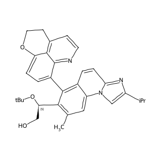 Cc1cc2c(ccc3nc(C(C)C)cn32)c(-c2ccc3c4c(ccnc24)CCO3)c1[C@@H](CO)OC(C)(C)C